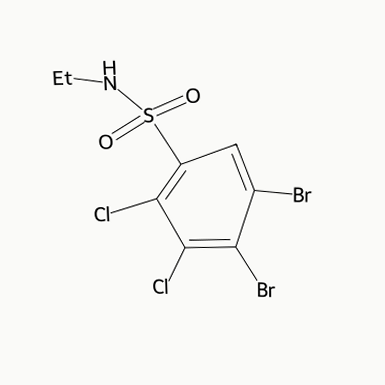 CCNS(=O)(=O)c1cc(Br)c(Br)c(Cl)c1Cl